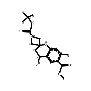 COC(=O)c1cc2c(cc1C)OC1(CC2O)CN(C(=O)OC(C)(C)C)C1